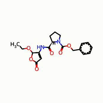 CCOC1OC(=O)C=C1NC(=O)[C@H]1CCCN1C(=O)OCc1ccccc1